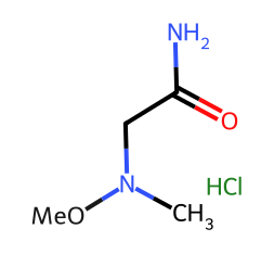 CON(C)CC(N)=O.Cl